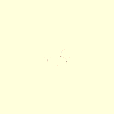 CC(C)OC([SiH3])=C(C(C)C)C(C)C